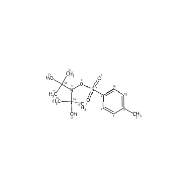 Cc1ccc(S(=O)(=O)ON(C(C)(C)O)C(C)(C)O)cc1